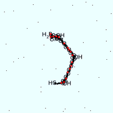 BC1CC(OC)C(COP(=O)(O)OCCOCCOCCOCCOCCOCCOP(=O)(O)OCCOCCOCCOCCOCCOCCOP(=O)(O)OCCCCC#C)O1